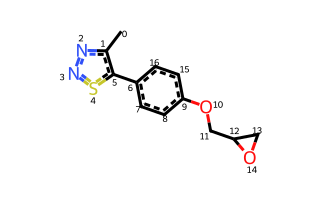 Cc1nnsc1-c1ccc(OCC2CO2)cc1